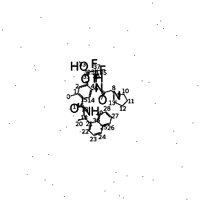 Cc1ccc(NC(=O)CN2CCCC2)cc1C(=O)N[C@H](C)c1cccc2ccccc12.O=C(O)C(F)(F)F